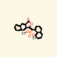 CCOP(=O)(OCC)/C(=C1/OC(=O)c2cc3ccccc3cc21)c1cccc2ccccc12